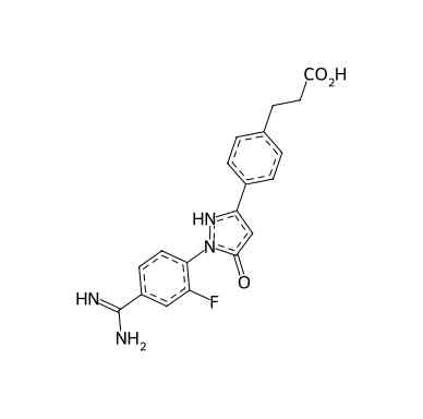 N=C(N)c1ccc(-n2[nH]c(-c3ccc(CCC(=O)O)cc3)cc2=O)c(F)c1